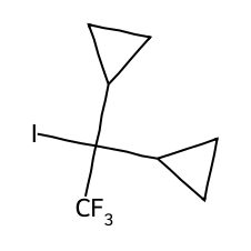 FC(F)(F)C(I)(C1CC1)C1CC1